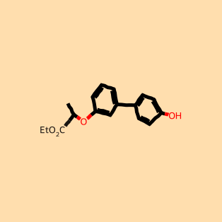 CCOC(=O)C(C)Oc1cccc(-c2ccc(O)cc2)c1